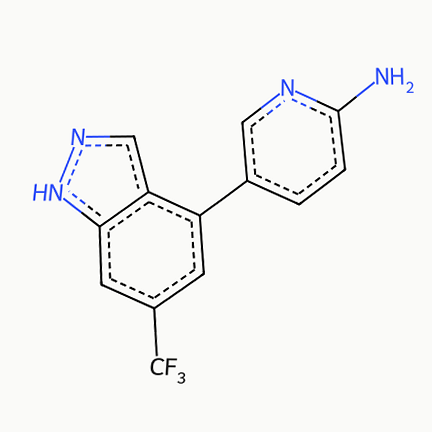 Nc1ccc(-c2cc(C(F)(F)F)cc3[nH]ncc23)cn1